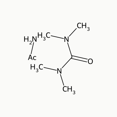 CC(N)=O.CN(C)C(=O)N(C)C